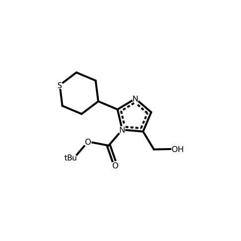 CC(C)(C)OC(=O)n1c(CO)cnc1C1CCSCC1